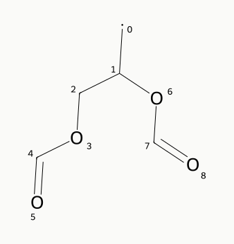 [CH2]C(COC=O)OC=O